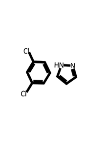 Clc1cccc(Cl)c1.c1cn[nH]c1